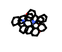 c1ccc(-c2cccc(-c3ccccc3)c2-n2c3ccccc3c3cccc(-n4c5ccccc5c5cccc([Si](c6ccccc6)(c6ccccc6)c6ccccc6)c54)c32)cc1